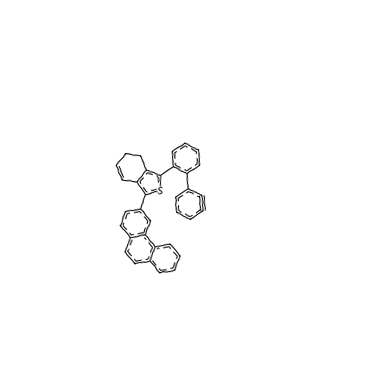 c1cccc(-c2ccccc2-c2sc(-c3ccc4ccc5ccccc5c4c3)c3c2CCC=C3)c#1